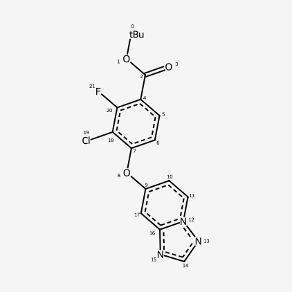 CC(C)(C)OC(=O)c1ccc(Oc2ccn3ncnc3c2)c(Cl)c1F